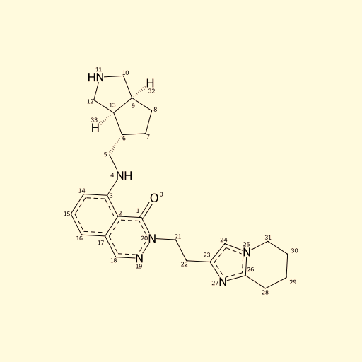 O=c1c2c(NC[C@H]3CC[C@@H]4CNC[C@@H]43)cccc2cnn1CCc1cn2c(n1)CCCC2